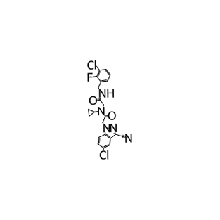 N#Cc1nn(CC(=O)N(CC(=O)NCc2cccc(Cl)c2F)C2CC2)c2ccc(Cl)cc12